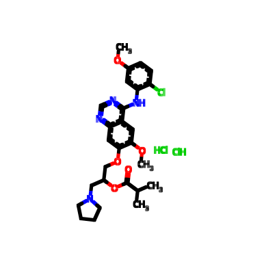 COc1ccc(Cl)c(Nc2ncnc3cc(OCC(CN4CCCC4)OC(=O)C(C)C)c(OC)cc23)c1.Cl.Cl